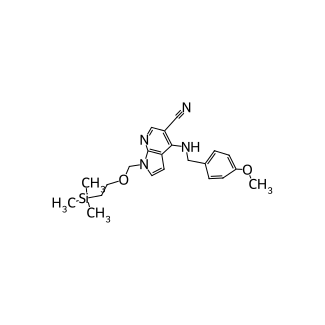 COc1ccc(CNc2c(C#N)cnc3c2ccn3COCC[Si](C)(C)C)cc1